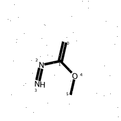 C=C(N=N)OC